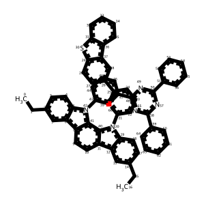 CCc1ccc2c(c1)c1ccc3c4cc(CC)ccc4n(-c4cccc(-c5ccc6sc7ccccc7c6c5)n4)c3c1n2-c1cccc(-c2nc(-c3ccccc3)nc(-c3ccccc3)n2)c1